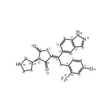 O=C1S/C(=C(/Cc2ccc(Cl)cc2C(F)(F)F)c2ccc3[nH]ncc3c2)C(=O)N1[C@H]1CCNC1